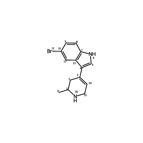 CC1CC(c2c[nH]c3ccc(Br)cc23)=CCN1